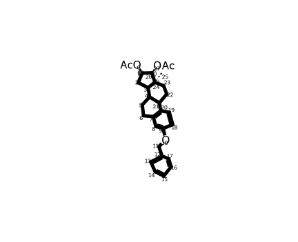 CC(=O)O[C@@H]1CC2C3CCc4cc(OCc5ccccc5)ccc4C3CC[C@]2(C)[C@H]1OC(C)=O